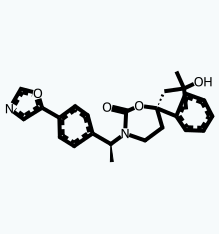 C[C@@H](c1ccc(-c2cnco2)cc1)N1CC[C@](CC(C)(C)O)(c2ccccc2)OC1=O